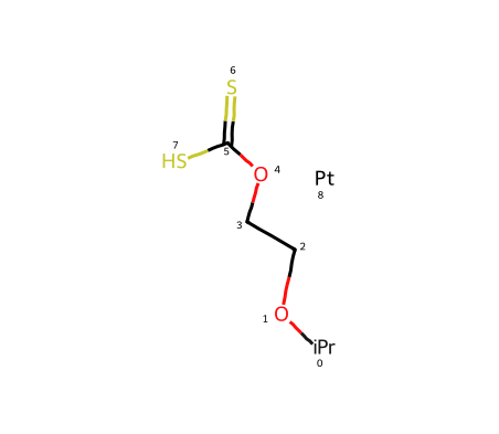 CC(C)OCCOC(=S)S.[Pt]